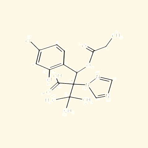 CCC(=O)OC(c1ccc(Cl)cc1Cl)C(C(=O)O)(n1cncn1)C(C)(C)C